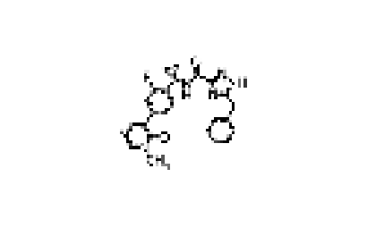 Cn1cncc(-c2ccc(C3(NC(=O)c4n[nH]c(Cc5ccccc5)n4)CC3)c(F)c2)c1=O